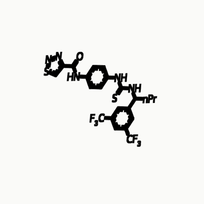 CCCC(NC(=S)Nc1ccc(NC(=O)c2csnn2)cc1)c1cc(C(F)(F)F)cc(C(F)(F)F)c1